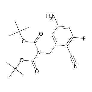 CC(C)(C)OC(=O)N(Cc1cc(N)cc(F)c1C#N)C(=O)OC(C)(C)C